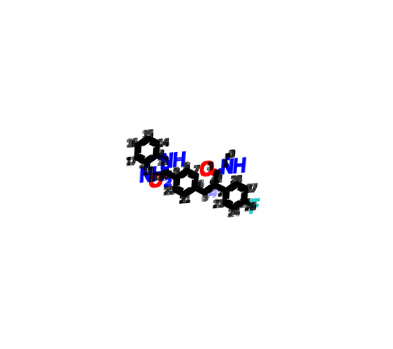 CNC(=O)/C(=C\c1ccc(C(=O)Nc2ccccc2N)cc1)c1ccc(F)cc1